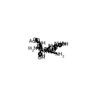 CC(=O)CN(C[C@H](C)NC(=O)CN(C[C@H](Cc1ccc(O)cc1)NC(=O)CN(C[C@H](CCCCN)NC(=O)CN(C[C@H](Cc1ccc(O)cc1)NC(C)=O)S(C)(=O)=O)S(=O)(=O)CCN)S(=O)(=O)CCN)S(C)(=O)=O